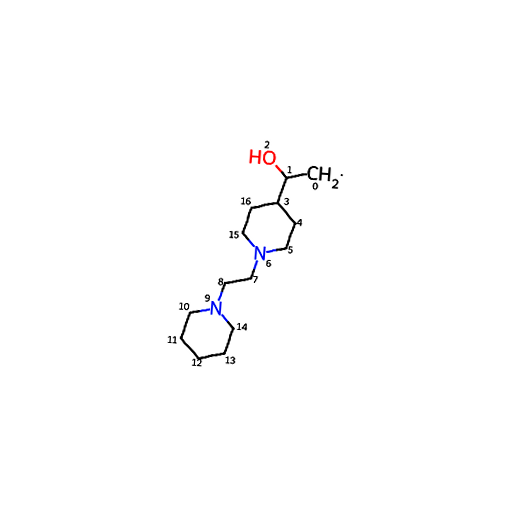 [CH2]C(O)C1CCN(CCN2CCCCC2)CC1